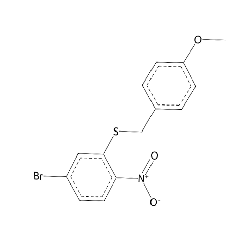 COc1ccc(CSc2cc(Br)ccc2[N+](=O)[O-])cc1